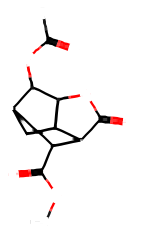 CCC(=O)OC1C2CC3C1OC(=O)C3C2C(=O)OC(C)(C)C